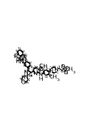 COc1cc(N2CCN(CCS(C)(=O)=O)CC2)c(C)cc1Nc1nccc(-c2sc(N3CCOCC3)nc2-c2cccc(NS(=O)(=O)c3c(F)cccc3F)c2)n1